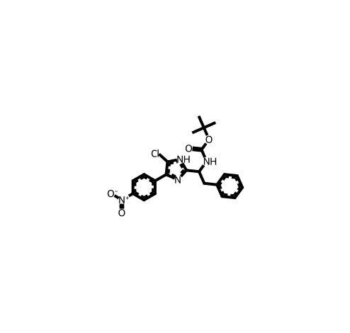 CC(C)(C)OC(=O)NC(Cc1ccccc1)c1nc(-c2ccc([N+](=O)[O-])cc2)c(Cl)[nH]1